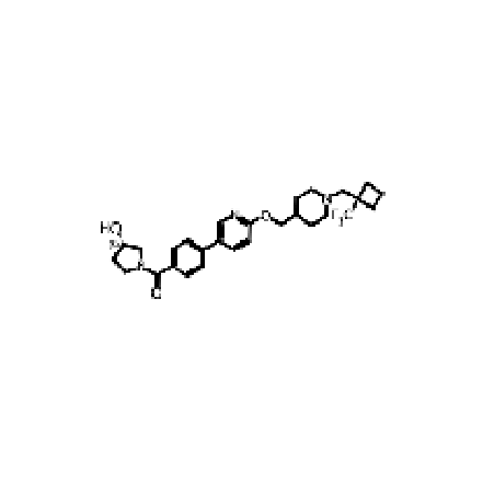 O=C(c1ccc(-c2ccc(OCC3CCN(CC4(C(F)(F)F)CCC4)CC3)nc2)cc1)N1CC[C@H](O)C1